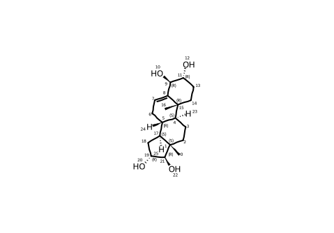 C[C@]12CC[C@H]3[C@@H](CC=C4[C@@H](O)[C@H](O)CC[C@@]43C)[C@@H]1C[C@@H](O)[C@@H]2O